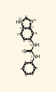 S=C(Nc1cc[c]cc1)Nc1ccc2[nH]cnc2c1